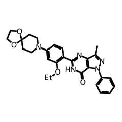 CCOc1cc(N2CCC3(CC2)OCCO3)ccc1-c1nc2c(C)nn(-c3ccccc3)c2c(=O)[nH]1